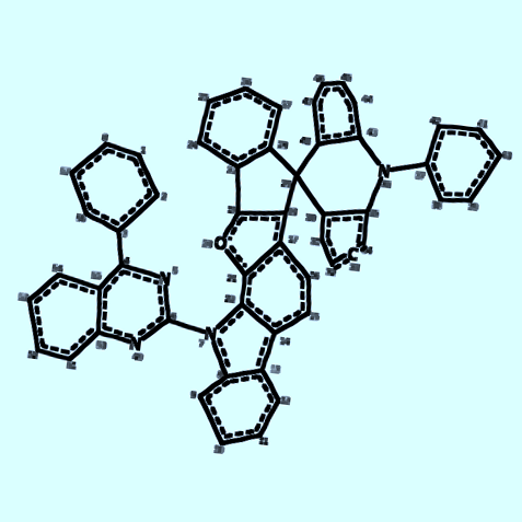 c1ccc(-c2nc(-n3c4ccccc4c4ccc5c6c(oc5c43)-c3ccccc3C63c4ccccc4N(c4ccccc4)c4ccccc43)nc3ccccc23)cc1